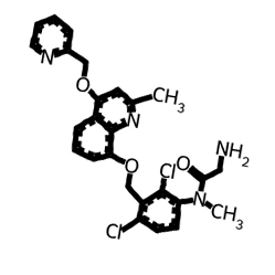 Cc1cc(OCc2ccccn2)c2cccc(OCc3c(Cl)ccc(N(C)C(=O)CN)c3Cl)c2n1